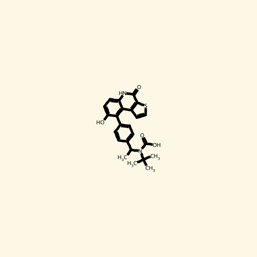 CC(c1ccc(-c2c(O)ccc3[nH]c(=O)c4sccc4c23)cc1)N(C(=O)O)C(C)(C)C